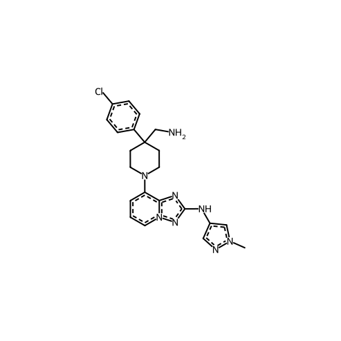 Cn1cc(Nc2nc3c(N4CCC(CN)(c5ccc(Cl)cc5)CC4)cccn3n2)cn1